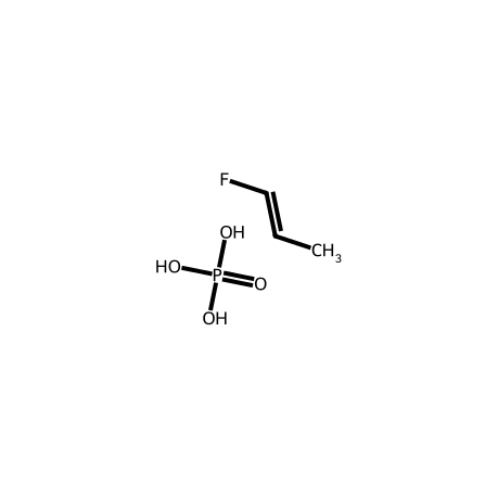 CC=CF.O=P(O)(O)O